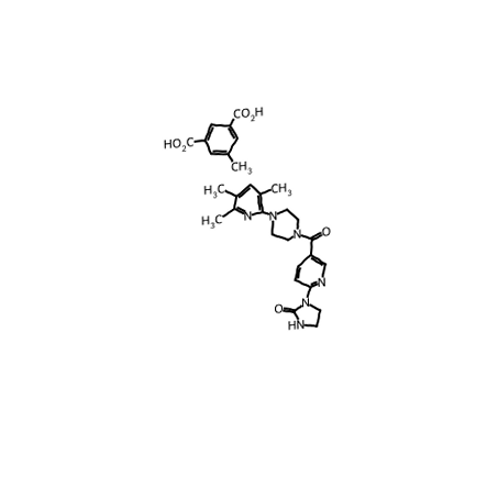 Cc1cc(C(=O)O)cc(C(=O)O)c1.Cc1cc(C)c(N2CCN(C(=O)c3ccc(N4CCNC4=O)nc3)CC2)nc1C